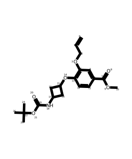 C=CCOc1cc(C(=O)OC)ccc1OC1CC(NC(=O)OC(C)(C)C)C1